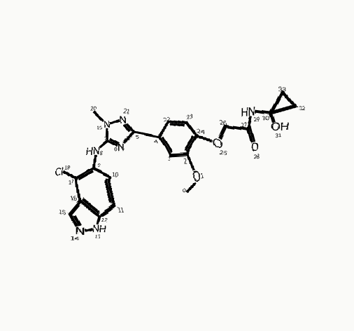 COc1cc(-c2nc(Nc3ccc4[nH]ncc4c3Cl)n(C)n2)ccc1OCC(=O)NC1(O)CC1